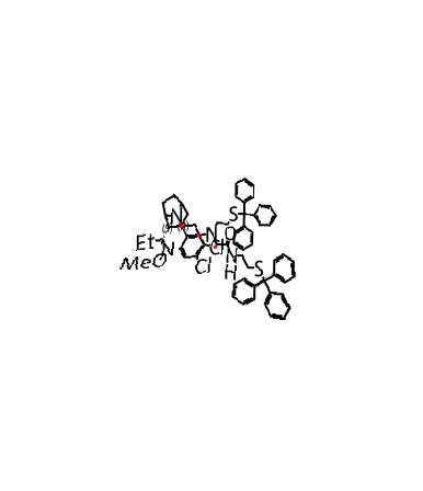 CCC(=NOC)[C@@H]1C2CCC(C[C@H]1c1ccc(Cl)c(Cl)c1)N2CCCN(CCSC(c1ccccc1)(c1ccccc1)c1ccccc1)CC(=O)NCCSC(c1ccccc1)(c1ccccc1)c1ccccc1